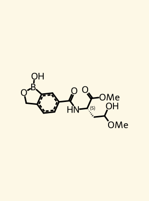 COC(=O)[C@H](CC(O)OC)NC(=O)c1ccc2c(c1)B(O)OC2